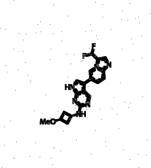 CO[C@H]1C[C@@H](Nc2ncc3c(-c4ccc5ncc(C(F)F)n5c4)c[nH]c3n2)C1